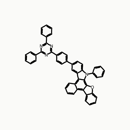 c1ccc(-c2nc(-c3ccccc3)nc(-c3ccc(-c4ccc5c(c4)c4c6ccccc6c6c7ccccc7oc6c4n5-c4ccccc4)cc3)n2)cc1